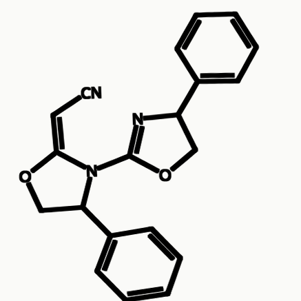 N#C/C=C1/OCC(c2ccccc2)N1C1=NC(c2ccccc2)CO1